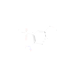 CS(=O)(=O)c1cc(CO)ccc1[N+](=O)[O-]